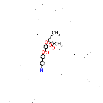 C=C1CC(C(CCCCC)Oc2ccc(C(=O)OC3=CC=C(C4=CC=C(C#N)CC4)CC3)cc2)OC1=O